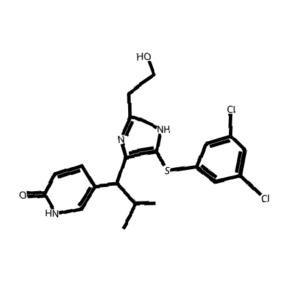 CC(C)C(c1ccc(=O)[nH]c1)c1nc(CCO)[nH]c1Sc1cc(Cl)cc(Cl)c1